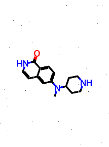 CN(c1ccc2c(=O)[nH]ccc2c1)C1CCNCC1